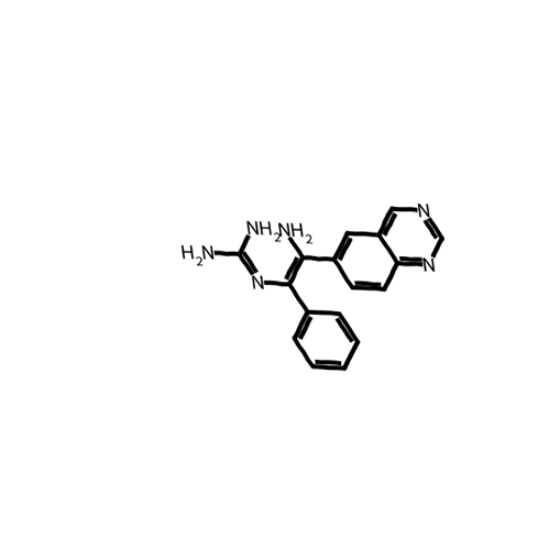 NC(N)=N/C(=C(\N)c1ccc2ncncc2c1)c1ccccc1